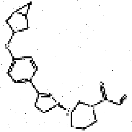 C=CC(=O)N1CCC[C@@H](N2CCC(c3ccc(OC4CC5CC5C4)cc3)=N2)C1